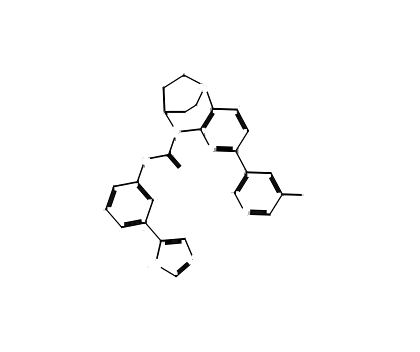 Cc1cncc(-c2ccc3c(n2)N(C(=O)Nc2cccc(-c4cnco4)c2)C2CCN3CC2)c1